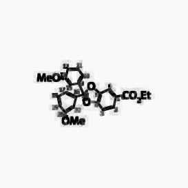 CCOC(=O)c1ccc2c(c1)OC(c1cccc(OC)c1)(c1cccc(OC)c1)O2